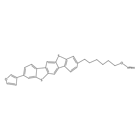 CCCCCCOCCCCCCc1ccc2c(c1)sc1cc3c(cc12)sc1cc(-c2ccoc2)ccc13